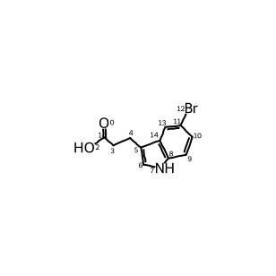 O=C(O)CCc1c[nH]c2ccc(Br)cc12